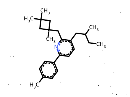 CCC(C)Cc1ccc(-c2ccc(C)cc2)nc1CC1(C)CC(C)(C)C1